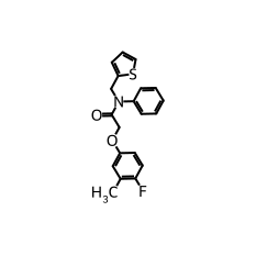 Cc1cc(OCC(=O)N(Cc2cccs2)c2ccccc2)ccc1F